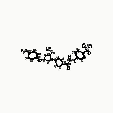 CCS(=O)(=O)c1ccc(CNC(=O)c2ccc(N3C[C@H](Oc4ccc(C(F)(F)F)cc4)C[C@H]3CC#N)cc2)cc1